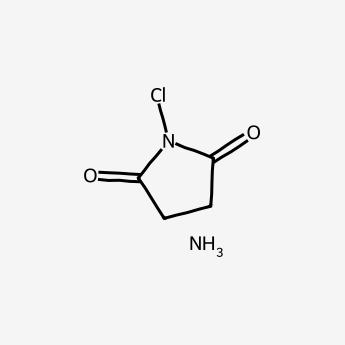 N.O=C1CCC(=O)N1Cl